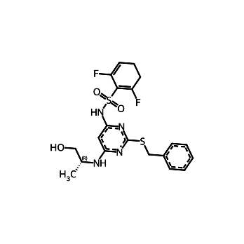 C[C@H](CO)Nc1cc(NS(=O)(=O)C2=C(F)CCC=C2F)nc(SCc2ccccc2)n1